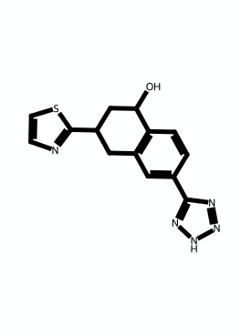 OC1CC(c2nccs2)Cc2cc(-c3nn[nH]n3)ccc21